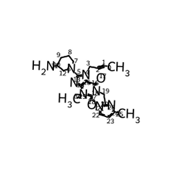 CC#CCn1c(N2CCCC(N)C2)nc2c1c(=O)n(Cc1nccc(C)n1)c(=O)n2C